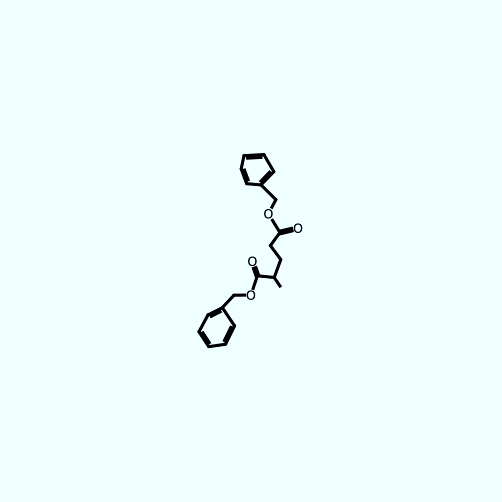 CC(CCC(=O)OCc1ccccc1)C(=O)OCc1ccccc1